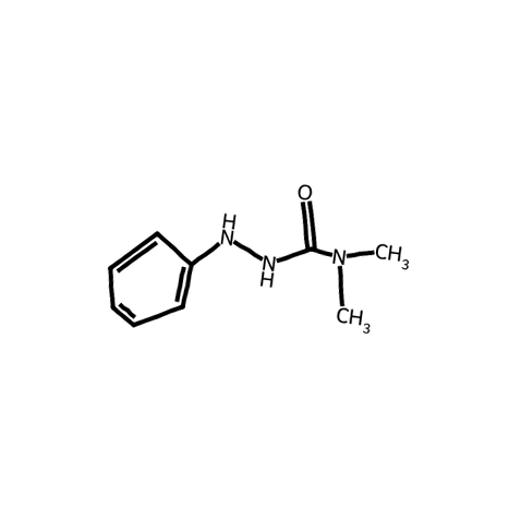 CN(C)C(=O)NNc1ccccc1